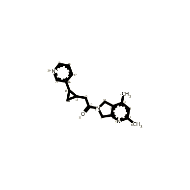 Cc1cc(C)c2c(n1)CN(C(=O)CC1CC1c1cccnc1)C2